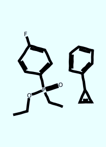 C1=CC1c1ccccc1.CCOP(=O)(CC)c1ccc(F)cc1